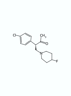 CC(=O)[C@@H](CN1CCC(F)CC1)c1ccc(Cl)cc1